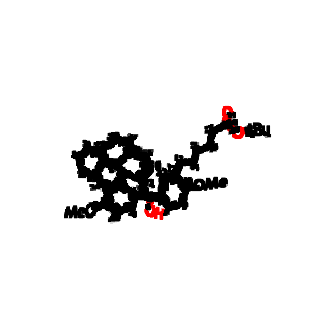 COc1ccc(C(O)(c2ccc(OC)c(CCCCCC(=O)OC(C)(C)C)c2)c2ccc3ccc4cccc5ccc2c3c45)cc1